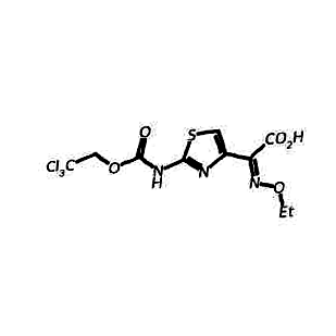 CCO/N=C(\C(=O)O)c1csc(NC(=O)OCC(Cl)(Cl)Cl)n1